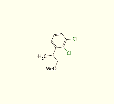 [CH2]C(COC)c1cccc(Cl)c1Cl